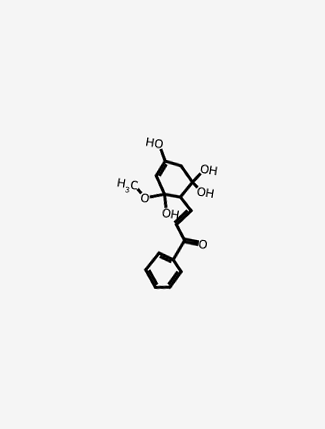 COC1(O)C=C(O)CC(O)(O)C1C=CC(=O)c1ccccc1